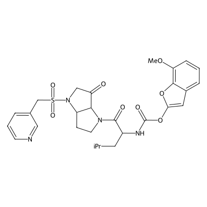 COc1cccc2cc(OC(=O)NC(CC(C)C)C(=O)N3CCC4C3C(=O)CN4S(=O)(=O)Cc3cccnc3)oc12